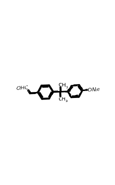 COc1ccc(C(C)(C)c2ccc(CC=O)cc2)cc1